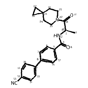 C[C@@H](NC(=O)c1ccc(-c2ccc(C#N)cc2)cc1)C(=O)N1CCC2(CC1)CC2